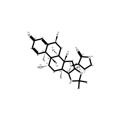 CC1(C)O[C@@H]2C[C@H]3[C@@H]4C[C@H](F)C5=CC(=O)C=C[C@]5(C)[C@@]4(F)[C@@H](O)C[C@]3(C)[C@]2(SC2CCOC2=O)O1